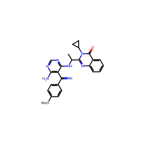 COc1ccc(C(=N)c2c(N)ncnc2NC(C)c2nc3ccccc3c(=O)n2C2CC2)cc1